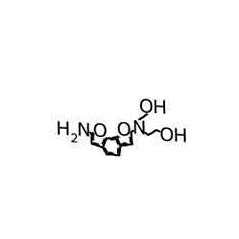 Nc1cc2ccc3cc(N(CCO)CCO)oc3c2o1